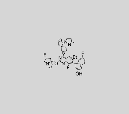 C=CC1(C(=O)n2ccc(C)n2)CCN(c2nc(OC[C@@]34CCCN3C[C@H](F)C4)nc3c(F)c(-c4cc(O)cc5ccc(F)c(CC)c45)ncc23)C1